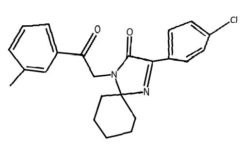 Cc1cccc(C(=O)CN2C(=O)C(c3ccc(Cl)cc3)=NC23CCCCC3)c1